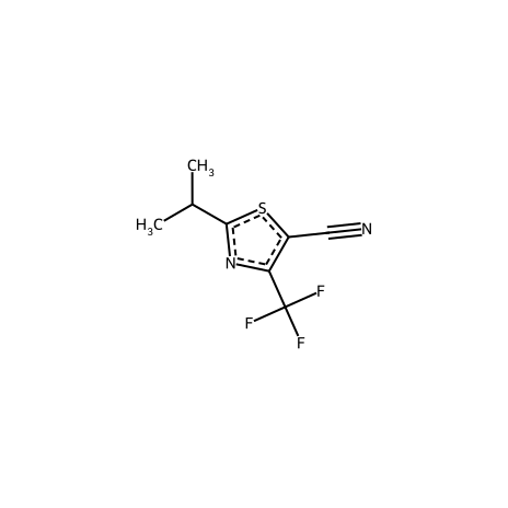 CC(C)c1nc(C(F)(F)F)c(C#N)s1